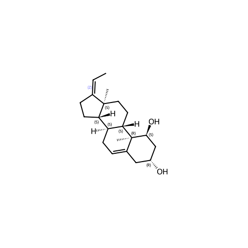 C/C=C1/CC[C@H]2[C@@H]3CC=C4C[C@@H](O)C[C@H](O)[C@]4(C)[C@H]3CC[C@]12C